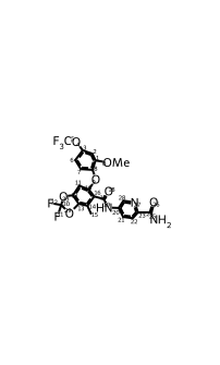 COc1cc(OC(F)(F)F)ccc1Oc1cc2c(c(C)c1C(=O)Nc1ccc(C(N)=O)nc1)OC(F)(F)O2